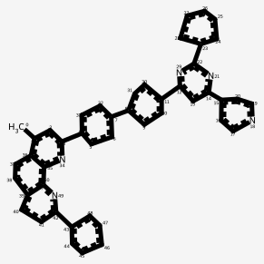 Cc1cc(-c2ccc(-c3ccc(-c4cc(-c5ccncc5)nc(-c5ccccc5)n4)cc3)cc2)nc2c1ccc1ccc(-c3ccccc3)nc12